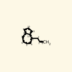 C=CCc1ccccc2cccc1-2